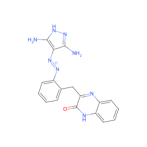 Nc1n[nH]c(N)c1/N=N/c1ccccc1Cc1nc2ccccc2[nH]c1=O